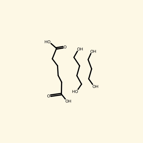 O=C(O)CCCCC(=O)O.OCCCCO.OCCCO